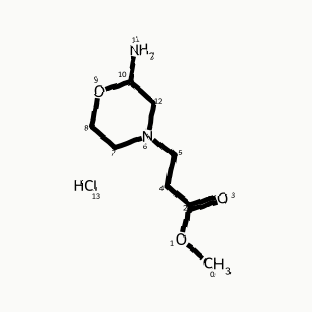 COC(=O)CCN1CCOC(N)C1.Cl